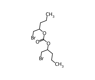 CCCC(CBr)OC(=O)OC(CBr)CCC